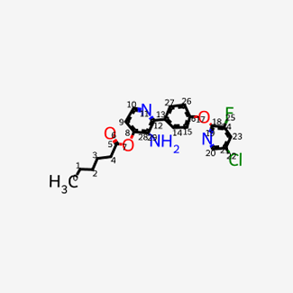 CCCCCC(=O)Oc1ccnc(-c2ccc(Oc3ncc(Cl)cc3F)cc2)c1N